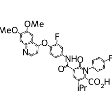 COc1cc2nccc(Oc3ccc(NC(=O)c4cc(C(C)C)c(C(=O)O)n(-c5ccc(F)cc5)c4=O)cc3F)c2cc1OC